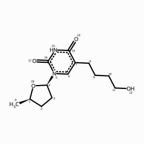 C[C@@H]1CC[C@H](n2cc(CCCCO)c(=O)[nH]c2=O)O1